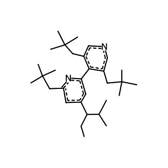 CCC(c1cc(CC(C)(C)C)nc(-c2c(CC(C)(C)C)cncc2CC(C)(C)C)c1)C(C)C